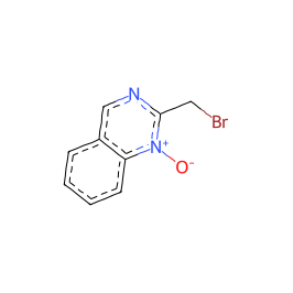 [O-][n+]1c(CBr)ncc2ccccc21